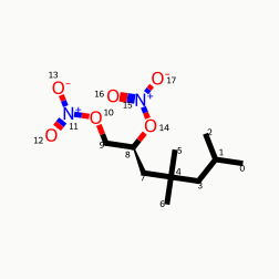 CC(C)CC(C)(C)C[C@@H](CO[N+](=O)[O-])O[N+](=O)[O-]